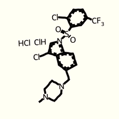 CN1CCN(Cc2ccc3c(c2)c(Cl)cn3S(=O)(=O)c2cc(C(F)(F)F)ccc2Cl)CC1.Cl.Cl